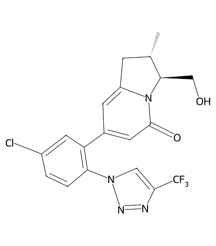 C[C@H]1Cc2cc(-c3cc(Cl)ccc3-n3cc(C(F)(F)F)nn3)cc(=O)n2[C@@H]1CO